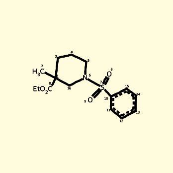 CCOC(=O)C1(C)CCCN(S(=O)(=O)c2ccccc2)C1